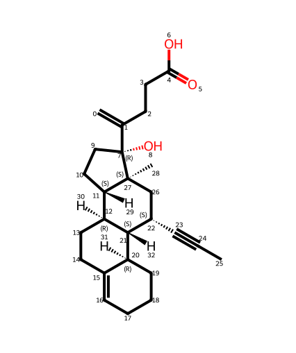 C=C(CCC(=O)O)[C@]1(O)CC[C@H]2[C@@H]3CCC4=CCCC[C@@H]4[C@H]3[C@@H](C#CC)C[C@@]21C